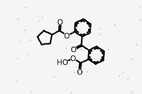 O=C(OO)c1ccccc1C(=O)c1ccccc1OC(=O)C1CCCC1